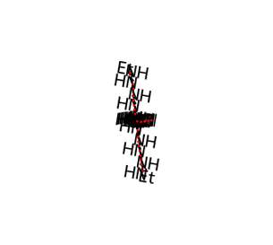 CCNCCCCNCCCCNCCCCNCCCCNCCCCNCCCCNCCCCNCCCCNCCCCNCC.Cl.Cl.Cl.Cl.Cl.Cl.Cl.Cl.Cl.Cl